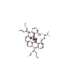 CCCCOc1cccc(OCCCC)c1[SiH](O[SiH](c1c(OCCCC)cccc1OCCCC)c1c(OCCCC)cccc1OCCCC)c1c(OCCCC)cccc1OCCCC